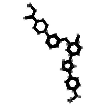 O=C(CO)N1CCN(c2cccc(Cn3cc(-c4nc(-c5ccc(OC(F)(F)F)cc5)no4)ccc3=O)c2)CC1